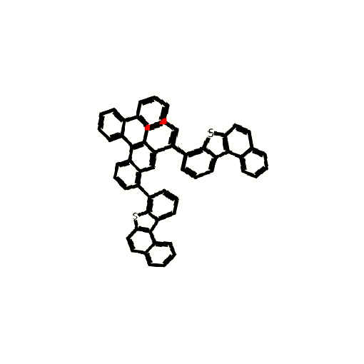 c1ccc(-c2ccccc2-c2c3cccc(-c4cccc5c4sc4ccc6ccccc6c45)c3cc3c(-c4cccc5c4sc4ccc6ccccc6c45)cccc23)cc1